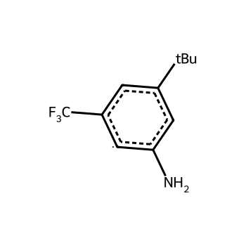 CC(C)(C)c1cc(N)[c]c(C(F)(F)F)c1